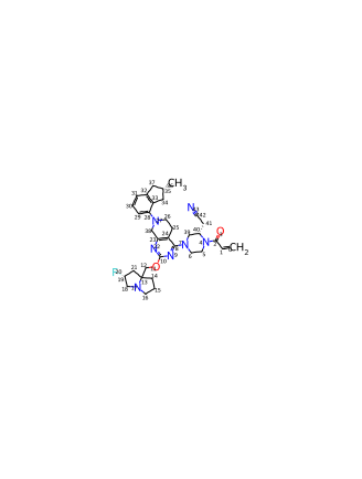 C=CC(=O)N1CCN(c2nc(OCC34CCCN3C[C@H](F)C4)nc3c2CCN(c2cccc4c2C[C@@H](C)C4)C3)C[C@@H]1CC#N